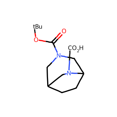 CC(C)(C)OC(=O)N1CC2CCC(C1)N(C(=O)O)C2